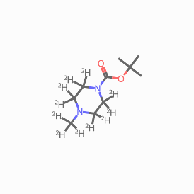 [2H]C([2H])([2H])N1C([2H])([2H])C([2H])([2H])N(C(=O)OC(C)(C)C)C([2H])([2H])C1([2H])[2H]